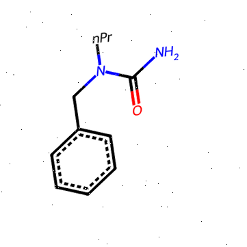 CCCN(Cc1ccccc1)C(N)=O